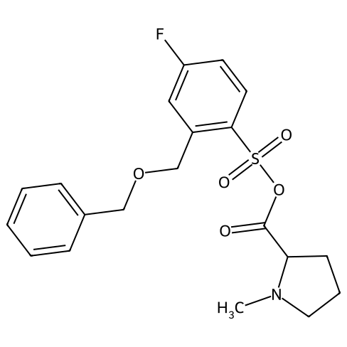 CN1CCCC1C(=O)OS(=O)(=O)c1ccc(F)cc1COCc1ccccc1